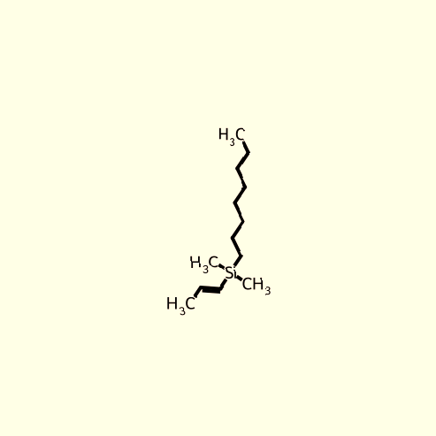 CC=C[Si](C)(C)CCCCCCCC